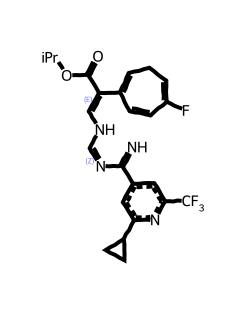 CC(C)OC(=O)/C(=C/N/C=N\C(=N)c1cc(C2CC2)nc(C(F)(F)F)c1)C1=CCC=C(F)C=C1